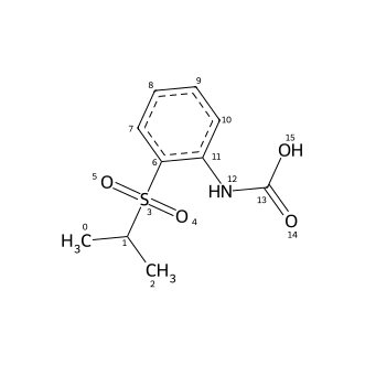 CC(C)S(=O)(=O)c1ccccc1NC(=O)O